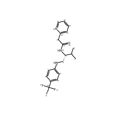 CC(C)[C@H](CNc1ccc(C(F)(F)F)cc1)NC(=O)Cc1ccccn1